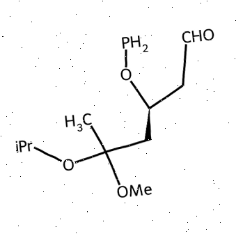 COC(C)(C[C@H](CC=O)OP)OC(C)C